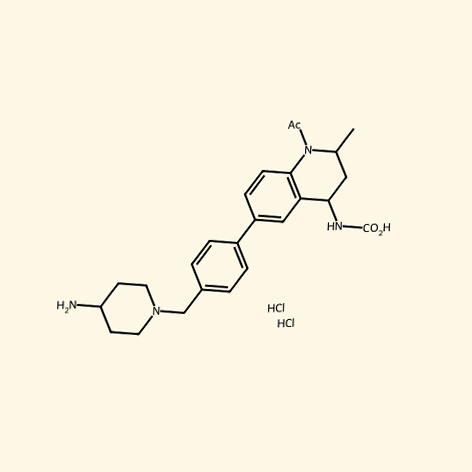 CC(=O)N1c2ccc(-c3ccc(CN4CCC(N)CC4)cc3)cc2C(NC(=O)O)CC1C.Cl.Cl